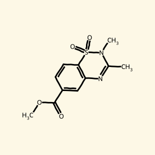 COC(=O)c1ccc2c(c1)N=C(C)N(C)S2(=O)=O